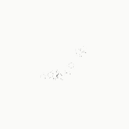 O=C(CCc1ccc(C(=O)NC[C@H](NS(=O)(=O)c2ccc(C(F)(F)F)cc2)C(=O)O)cc1)NC1=NCCCN1